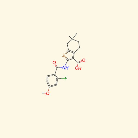 COc1ccc(C(=O)Nc2sc3c(c2C(=O)O)CCC(C)(C)C3)c(F)c1